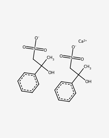 CC(O)(CS(=O)(=O)[O-])c1ccccc1.CC(O)(CS(=O)(=O)[O-])c1ccccc1.[Ca+2]